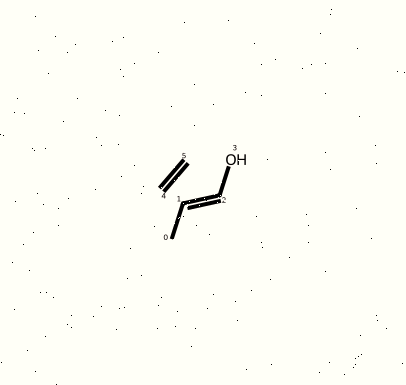 C/C=C/O.C=C